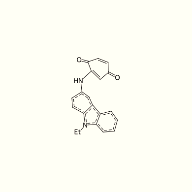 CCn1c2ccccc2c2cc(NC3=CC(=O)C=CC3=O)ccc21